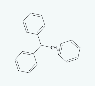 CC(c1ccccc1)c1ccccc1.c1ccccc1